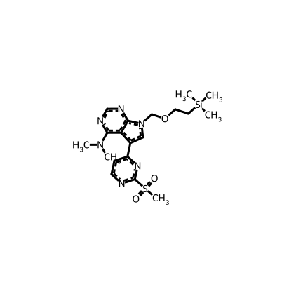 CN(C)c1ncnc2c1c(-c1ccnc(S(C)(=O)=O)n1)cn2COCC[Si](C)(C)C